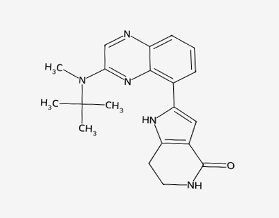 CN(c1cnc2cccc(-c3cc4c([nH]3)CCNC4=O)c2n1)C(C)(C)C